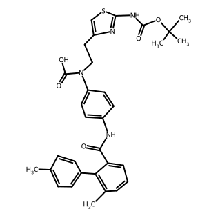 Cc1ccc(-c2c(C)cccc2C(=O)Nc2ccc(N(CCc3csc(NC(=O)OC(C)(C)C)n3)C(=O)O)cc2)cc1